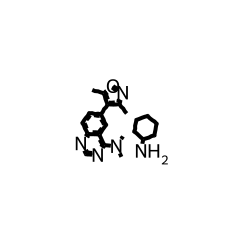 Cc1noc(C)c1-c1ccc2ncnc(N(C)C)c2c1.NC1CCCCC1